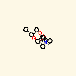 CC12CC=CC=C1Oc1ccccc1-c1cc(-c3ccccc3)ccc1OC1=C2C(C)(c2cccc3c4ccccc4n(-c4ccccc4)c23)CC=C1